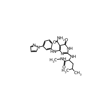 CNC(=O)C(CC(C)C)Nc1nc(Nc2cccc(-n3cccn3)c2)c(C(N)=O)c(=O)[nH]1